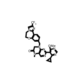 COc1ncnc(C2CC2)c1-c1ncc2c(n1)N(Cc1ccc3c(c1)OCCn1cc(C(F)(F)F)nc1-3)CC(=O)N2C